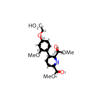 COC(=O)c1ccc(-c2ccc(OCC(=O)O)cc2OC)c(C(=O)OC)n1